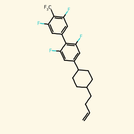 C=CCCC1CCC(c2cc(F)c(-c3cc(F)c(C(F)(F)F)c(F)c3)c(F)c2)CC1